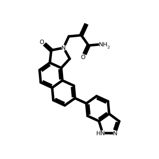 C=C(CN1Cc2c(ccc3ccc(-c4ccc5cn[nH]c5c4)cc23)C1=O)C(N)=O